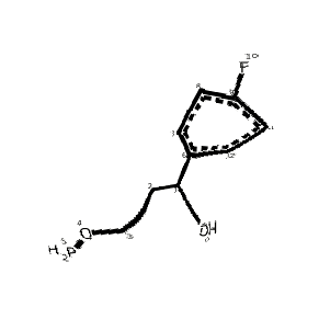 OC(CCOP)c1ccc(F)cc1